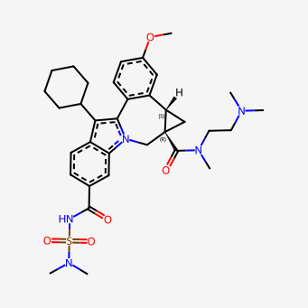 COc1ccc2c(c1)[C@@H]1C[C@]1(C(=O)N(C)CCN(C)C)Cn1c-2c(C2CCCCC2)c2ccc(C(=O)NS(=O)(=O)N(C)C)cc21